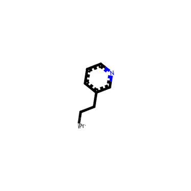 C[C](C)CCc1cccnc1